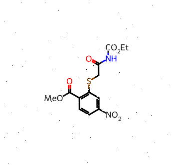 CCOC(=O)NC(=O)CSc1cc([N+](=O)[O-])ccc1C(=O)OC